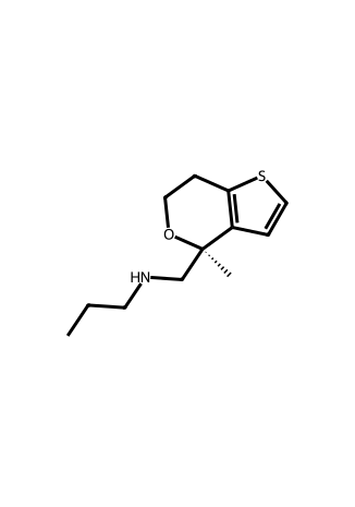 CCCNC[C@@]1(C)OCCc2sccc21